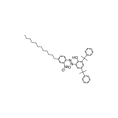 CCCCCCCCCCCCc1ccc(N=Nc2cc(C(C)(C)c3ccccc3)cc(C(C)(C)c3ccccc3)c2O)c([N+](=O)[O-])c1